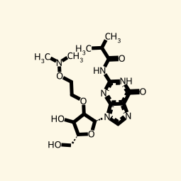 CC(C)C(=O)Nc1nc2c(ncn2[C@@H]2O[C@H](CO)C(O)C2OCCON(C)C)c(=O)[nH]1